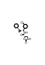 O=C1NC[C@@H](C(=O)NC(c2cccc(Cl)c2)[C@@H]2C[C@H]2c2ccccc2)O1